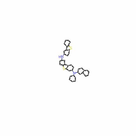 c1ccc(N(c2ccc3ccccc3c2)c2ccc3c(c2)sc2ccc(Nc4ccc5sc6ccccc6c5c4)cc23)cc1